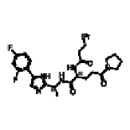 CC(C)CCC(=O)N[C@@H](CCC(=O)N1CCCC1)C(=O)N[C@@H](C)c1ncc(-c2ccc(F)cc2F)[nH]1